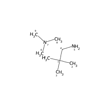 CC(C)(C)CN.CN(C)C